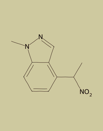 CC(c1cccc2c1cnn2C)[N+](=O)[O-]